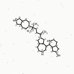 CC(C)N1CC2CCNC(C3CNCCC4CN(C(C)CCC(C)(C)N5CCC6CNCC6CC5)CC43)C2C1